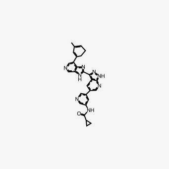 CC1=CCCC(c2cncc3[nH]c(-c4n[nH]c5ncc(-c6cncc(NC(=O)C7CC7)c6)cc45)nc23)=C1